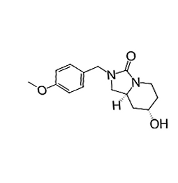 COc1ccc(CN2C[C@@H]3C[C@@H](O)CCN3C2=O)cc1